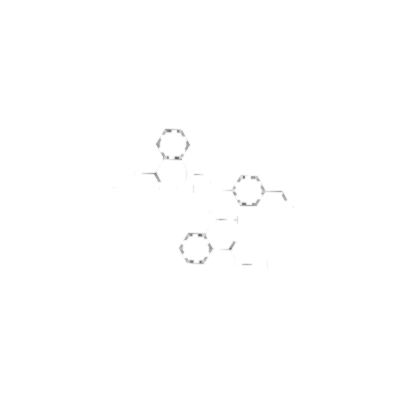 COC(=O)c1ccccc1B(O)OB(OB(O)c1ccccc1C(=O)OC)c1ccc(C=O)cc1